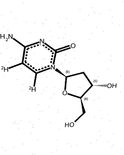 [2H]c1c(N)nc(=O)n([C@H]2C[C@H](O)[C@@H](CO)O2)c1[2H]